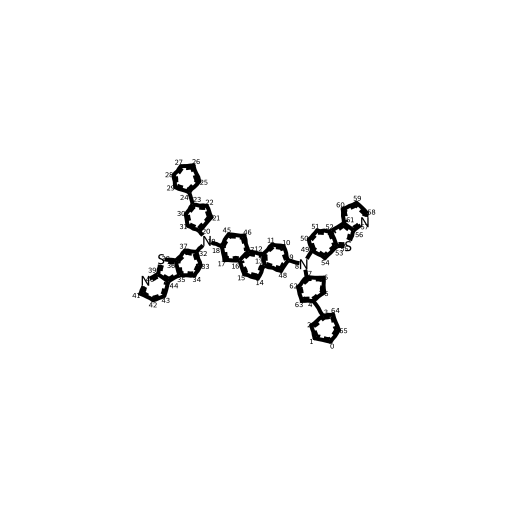 c1ccc(-c2ccc(N(c3ccc4c(ccc5cc(N(c6ccc(-c7ccccc7)cc6)c6ccc7c(c6)sc6ncccc67)ccc54)c3)c3ccc4c(c3)sc3ncccc34)cc2)cc1